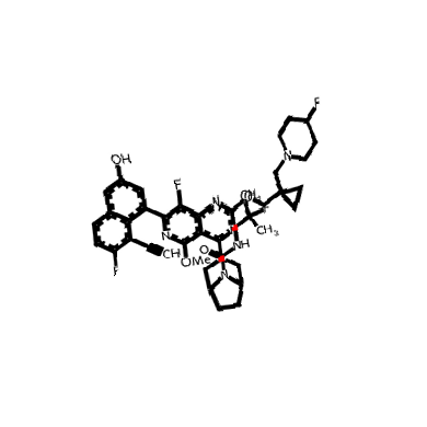 C#Cc1c(F)ccc2cc(O)cc(-c3nc(OC)c4c(N5CC6CCC(C5)N6C(=O)NCC(C)(C)F)nc(OCC5(CN6CCC(F)CC6)CC5)nc4c3F)c12